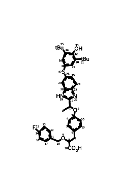 CC(Oc1ccc(CC(OCc2ccc(F)cc2)C(=O)O)cc1)c1nc2ccc(Sc3cc(C(C)(C)C)c(O)c(C(C)(C)C)c3)cc2[nH]1